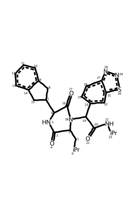 CC(C)CC1C(=O)NC(C2Cc3ccccc3C2)C(=O)N1C(C(=O)NC(C)C)c1ccc2nnsc2c1